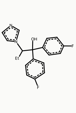 CCC(n1ccnc1)C(O)(c1ccc(F)cc1)c1ccc(F)cc1